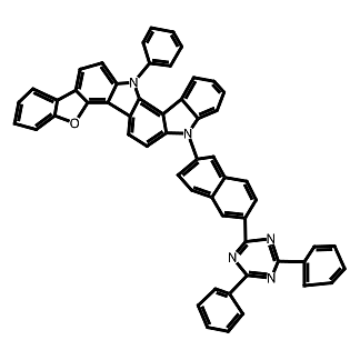 c1ccc(-c2nc(-c3ccccc3)nc(-c3ccc4cc(-n5c6ccccc6c6c5ccc5c7c8oc9ccccc9c8ccc7n(-c7ccccc7)c56)ccc4c3)n2)cc1